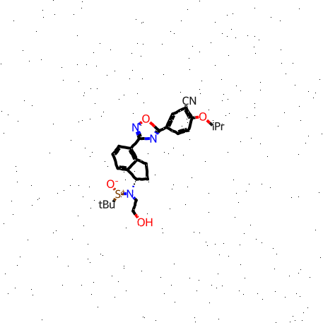 CC(C)Oc1ccc(-c2nc(-c3cccc4c3CC[C@@H]4N(CCO)[S+]([O-])C(C)(C)C)no2)cc1C#N